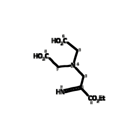 CCOC(=O)C(=N)CN(CC(=O)O)CC(=O)O